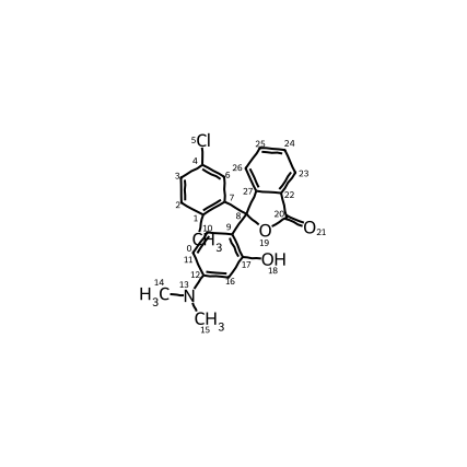 Cc1ccc(Cl)cc1C1(c2ccc(N(C)C)cc2O)OC(=O)c2ccccc21